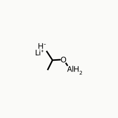 CC(C)[O][AlH2].[H-].[Li+]